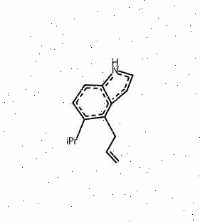 C=CCc1c(C(C)C)ccc2[nH]ccc12